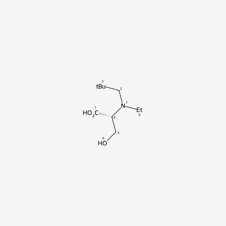 CCN(CC(C)(C)C)[C@H](CO)C(=O)O